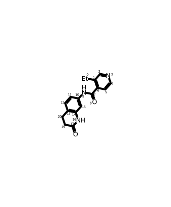 CCc1cnccc1C(=O)Nc1ccc2c(c1)NC(=O)CC2